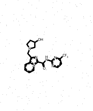 O=C(Nc1nccc(C(F)(F)F)n1)c1nc(CN2CCC(O)C2)c2ccccn12